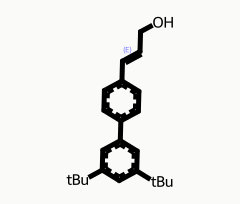 CC(C)(C)c1cc(-c2ccc(/C=C/CO)cc2)cc(C(C)(C)C)c1